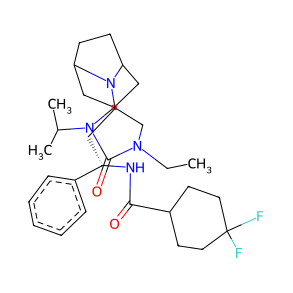 CCN1CC2(CC3CCC(C2)N3CC[C@H](NC(=O)C2CCC(F)(F)CC2)c2ccccc2)N(C(C)C)C1=O